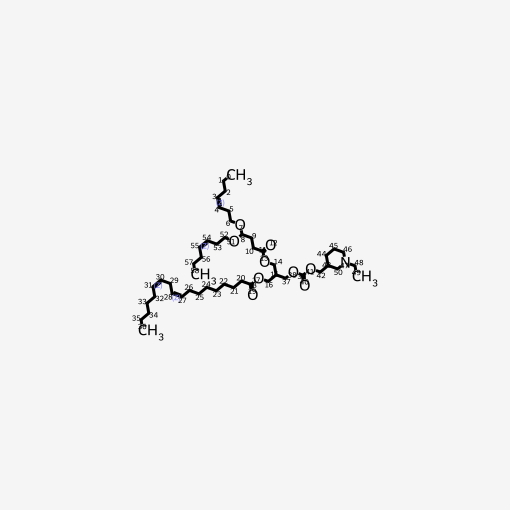 CCC/C=C\CCOC(CCC(=O)OCC(COC(=O)CCCCCCC/C=C\C/C=C\CCCCC)COC(=O)OCC1CCCN(CC)C1)OCC/C=C\CCC